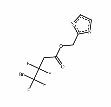 O=C(CC(F)(F)C(F)(F)Br)OCc1nccs1